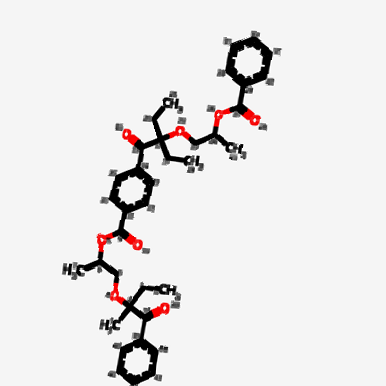 CCC(C)(OCC(C)OC(=O)c1ccc(C(=O)C(CC)(CC)OCC(C)OC(=O)c2ccccc2)cc1)C(=O)c1ccccc1